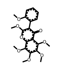 COc1ccccc1-c1c(OC)oc2c(OC)c(OC)c(OC)c(OC)c2c1=O